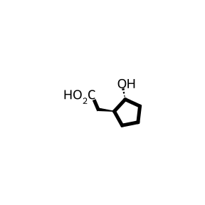 O=C(O)C[C@@H]1CCC[C@H]1O